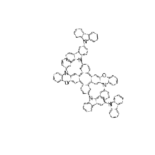 c1ccc(-n2c3ccccc3oc3cc4c5ccc(-n6c7ccccc7c7cc(-n8c9ccccc9c9ccccc98)ccc76)cc5c5cc6c(cc5c5ccc(-n7c8ccccc8c8cc(-n9c%10ccccc%10c%10ccccc%109)ccc87)cc5c4cc32)oc2ccccc2n6-c2ccccc2)cc1